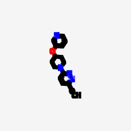 C#Cc1ccc(N2CCC(Oc3cccnc3)CC2)nn1